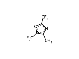 Cc1nc(C(F)(F)F)oc1C(F)(F)F